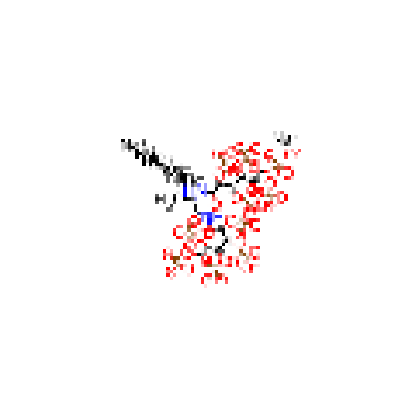 CC(CNC(=O)[C@H](OS(=O)(=O)[O-])[C@@H](OS(=O)(=O)[O-])[C@@H](OS(=O)(=O)[O-])[C@@H](COS(=O)(=O)[O-])OS(=O)(=O)[O-])NC(=O)[C@H](OS(=O)(=O)[O-])[C@@H](OS(=O)(=O)[O-])[C@@H](OS(=O)(=O)[O-])[C@@H](COS(=O)(=O)[O-])OS(=O)(=O)[O-].[Na+].[Na+].[Na+].[Na+].[Na+].[Na+].[Na+].[Na+].[Na+].[Na+]